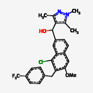 COc1cc2ccc(C(O)c3c(C)nn(C)c3C)cc2c(Cl)c1Cc1ccc(C(F)(F)F)cc1